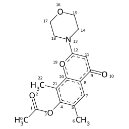 CC(=O)Oc1c(C)cc2c(=O)cc(N3CCOCC3)oc2c1C